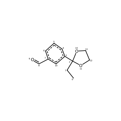 CCC1(c2cccc(C=O)c2)OCCO1